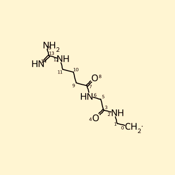 [CH2]CNC(=O)CNC(=O)CCCNC(=N)N